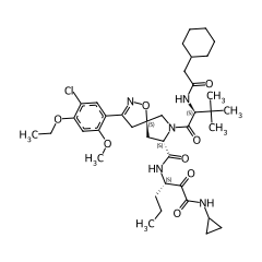 CCC[C@H](NC(=O)[C@@H]1C[C@]2(CC(c3cc(Cl)c(OCC)cc3OC)=NO2)CN1C(=O)[C@@H](NC(=O)CC1CCCCC1)C(C)(C)C)C(=O)C(=O)NC1CC1